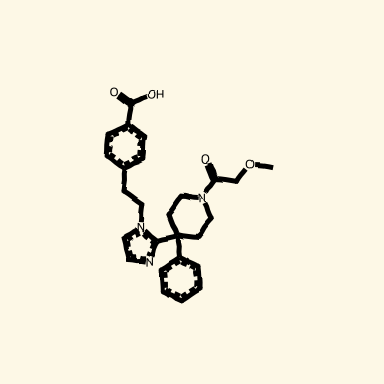 COCC(=O)N1CCC(c2ccccc2)(c2nccn2CCc2ccc(C(=O)O)cc2)CC1